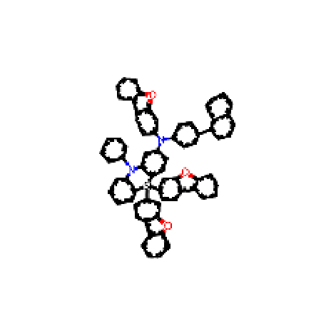 c1ccc(N2c3ccccc3[Si](c3ccc4c(c3)oc3ccccc34)(c3ccc4c(c3)oc3ccccc34)c3ccc(N(c4ccc(-c5cccc6ccccc56)cc4)c4ccc5c(c4)oc4ccccc45)cc32)cc1